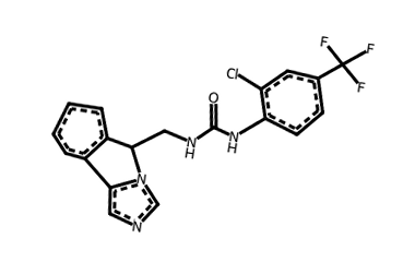 O=C(NCC1c2ccccc2-c2cncn21)Nc1ccc(C(F)(F)F)cc1Cl